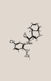 COc1ccc(Cl)cc1NC(=O)c1csc2cncnc12